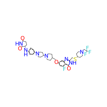 O=C1CCC(Nc2ccc(N3CCC(N4CCC(COc5cc(F)c6c(=O)[nH]c(CSC7CCN(CC(F)(F)F)CC7)nc6c5)CC4)CC3)cc2)C(=O)N1